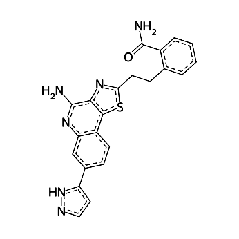 NC(=O)c1ccccc1CCc1nc2c(N)nc3cc(-c4ccn[nH]4)ccc3c2s1